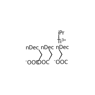 CCCCCCCCCCCC(=O)[O-].CCCCCCCCCCCC(=O)[O-].CCCCCCCCCCCC(=O)[O-].C[CH](C)[Ti+3]